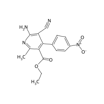 CCOC(=O)c1c(C)nc(N)c(C#N)c1-c1ccc([N+](=O)[O-])cc1